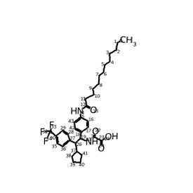 CCCCCCCCCCCCC(=O)Nc1ccc(C(NC(=O)C(=O)O)C(c2ccc(C(F)(F)F)cc2)C2CCCC2)cc1